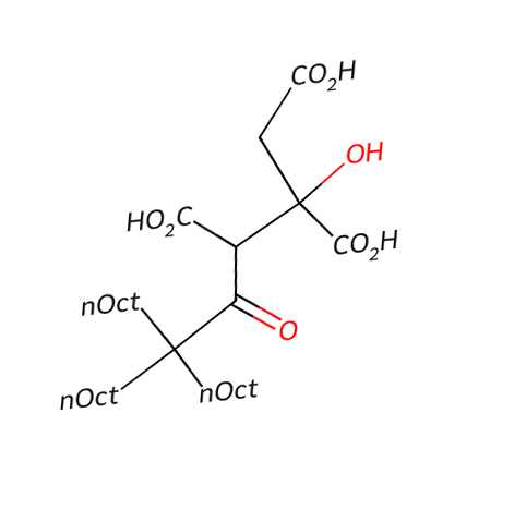 CCCCCCCCC(CCCCCCCC)(CCCCCCCC)C(=O)C(C(=O)O)C(O)(CC(=O)O)C(=O)O